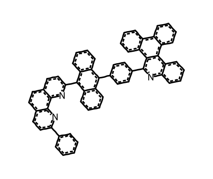 c1ccc(-c2ccc3ccc4ccc(-c5c6ccccc6c(-c6ccc(-c7nc8ccccc8c8c9ccccc9c9ccccc9c78)cc6)c6ccccc56)nc4c3n2)cc1